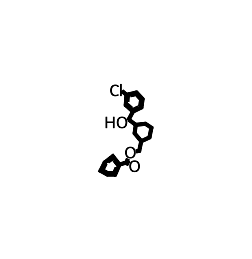 O=C(OCC1CCCC(C(O)c2cccc(Cl)c2)C1)c1ccccc1